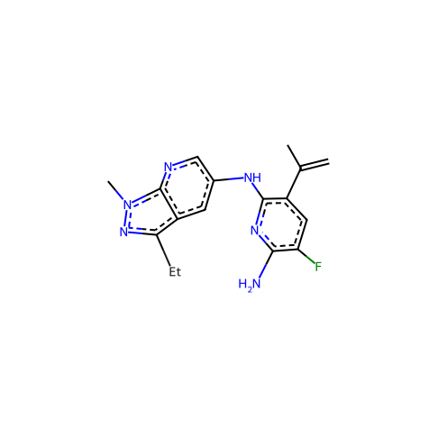 C=C(C)c1cc(F)c(N)nc1Nc1cnc2c(c1)c(CC)nn2C